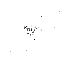 C[SiH2-].[K+].[NaH]